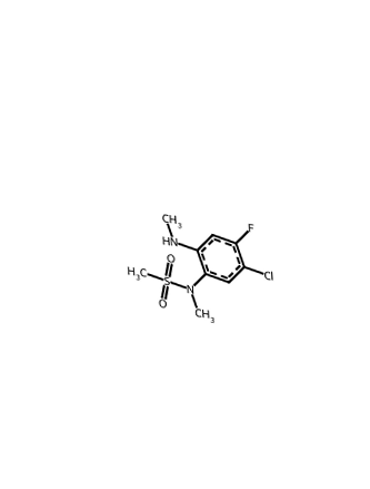 CNc1cc(F)c(Cl)cc1N(C)S(C)(=O)=O